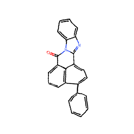 O=c1c2cccc3c(-c4ccccc4)ccc(c32)c2nc3ccccc3n12